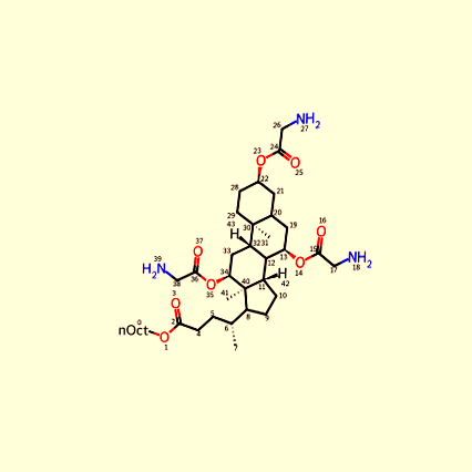 CCCCCCCCOC(=O)CC[C@@H](C)C1CC[C@H]2C3[C@H](OC(=O)CN)CC4C[C@H](OC(=O)CN)CC[C@]4(C)[C@H]3C[C@H](OC(=O)CN)[C@]12C